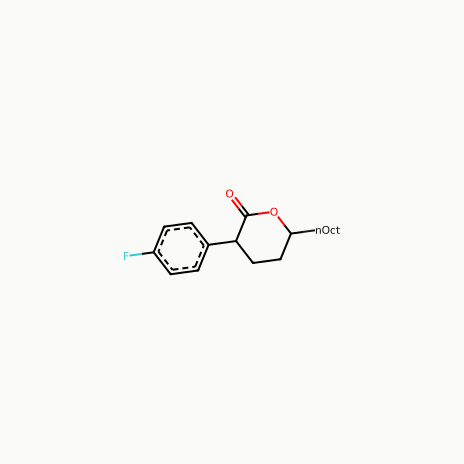 CCCCCCCCC1CCC(c2ccc(F)cc2)C(=O)O1